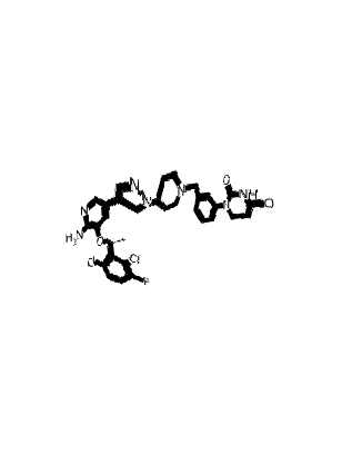 C[C@@H](Oc1cc(-c2cnn(C3CCN(Cc4cccc(N5CCC(=O)NC5=O)c4)CC3)c2)cnc1N)c1c(Cl)ccc(F)c1Cl